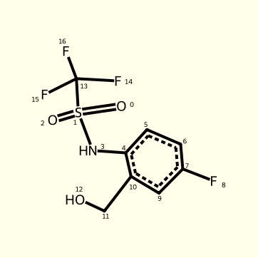 O=S(=O)(Nc1ccc(F)cc1CO)C(F)(F)F